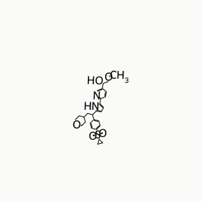 COCC(O)c1ccc(-c2ccc(C(CC3CCOCC3)c3ccc(S(=O)(=O)C4CC4)cc3)[nH]2)nc1